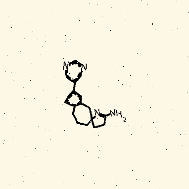 NC1=N[C@]2(CCCc3ccc(-c4cncnc4)cc3C2)CC1